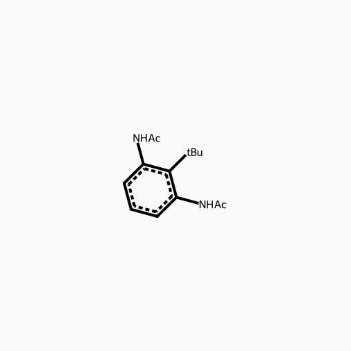 CC(=O)Nc1cccc(NC(C)=O)c1C(C)(C)C